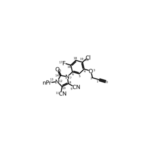 C#CCOc1cc(-n2c(C#N)c(C#N)n(CCC)c2=O)c(F)cc1Cl